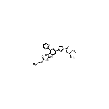 CCOC(=O)Nc1nc2cc(-n3cnc(C(=O)CC(C)C)c3)cc(-c3ncccn3)c2[nH]1